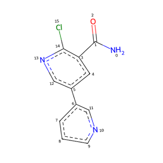 NC(=O)c1cc(-c2cccnc2)cnc1Cl